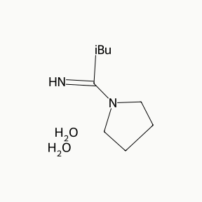 CCC(C)C(=N)N1CCCC1.O.O